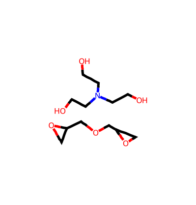 C(OCC1CO1)C1CO1.OCCN(CCO)CCO